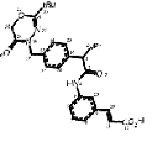 CC(C)C(C(=O)Nc1cccc(/C=C/C(=O)O)c1)c1ccc(CN2N=C(C(C)(C)C)OCC2=O)cc1